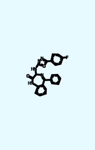 O=C1Nc2ccccc2C(c2ccccc2)=NC1Nc1nnc(-c2ccc(F)cc2)o1